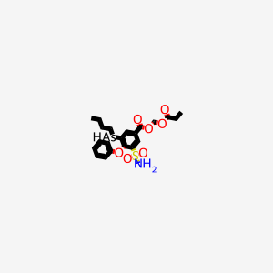 CCCC[AsH]c1cc(C(=O)OCOC(=O)CC)cc(S(N)(=O)=O)c1Oc1ccccc1